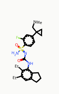 CCc1cc2c(c(NC(=O)N=S(N)(=O)c3ccc(C4(CNC)CC4)cc3F)c1CC)CCC2